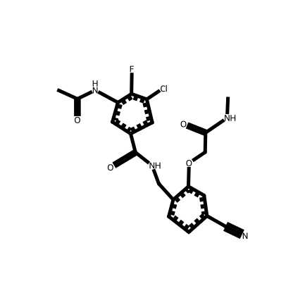 CNC(=O)COc1cc(C#N)ccc1CNC(=O)c1cc(Cl)c(F)c(NC(C)=O)c1